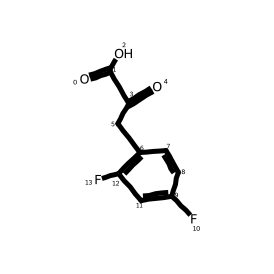 O=C(O)C(=O)Cc1ccc(F)cc1F